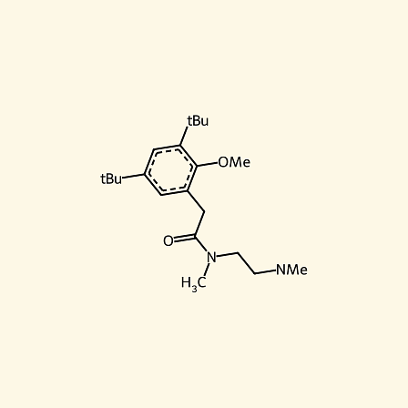 CNCCN(C)C(=O)Cc1cc(C(C)(C)C)cc(C(C)(C)C)c1OC